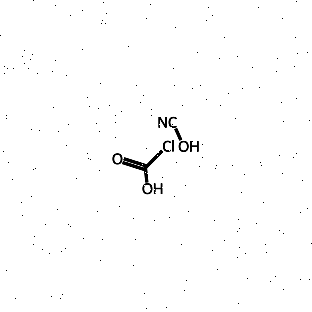 N#CO.O=C(O)Cl